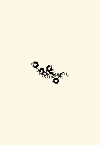 C=CC(=O)N[C@H]1CCCC[C@H]1NC(O)c1sc2nccc3c2c1NC(=O)N3c1ccc(Oc2cccnn2)nc1C